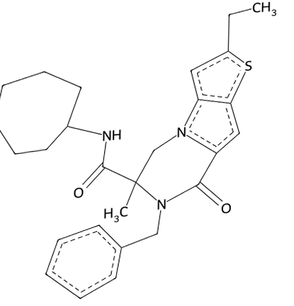 CCc1cc2c(cc3n2CC(C)(C(=O)NC2CCCCCC2)N(Cc2ccccc2)C3=O)s1